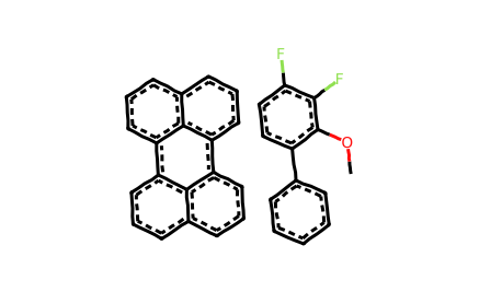 COc1c(-c2ccccc2)ccc(F)c1F.c1cc2cccc3c4cccc5cccc(c(c1)c23)c54